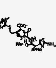 CSC(C(=O)NC1C(=O)N2C(C(=O)[O-])=C(CSc3nnnn3C)CS[C@H]12)c1csc(N)n1.[Na+]